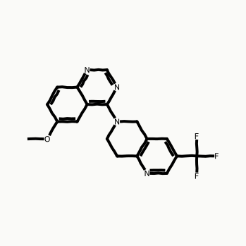 COc1ccc2ncnc(N3CCc4ncc(C(F)(F)F)cc4C3)c2c1